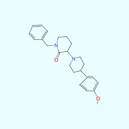 COc1ccc(C2CCN(C3CCCN(Cc4ccccc4)C3=O)CC2)cc1